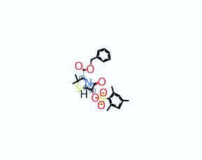 Cc1cc(C)c(S(=O)(=O)O[C@@H]2C(=O)N3[C@@H]2SC(C)(C)[C@@H]3C(=O)OCc2ccccc2)c(C)c1